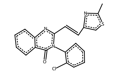 Cc1nc(/C=C/c2nc3ccccc3c(=O)n2-c2ccccc2Cl)cs1